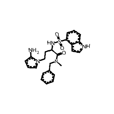 CN(Cc1ccccc1)C(=O)C(CCn1cccc1N)NS(=O)(=O)c1cccc2[nH]ccc12